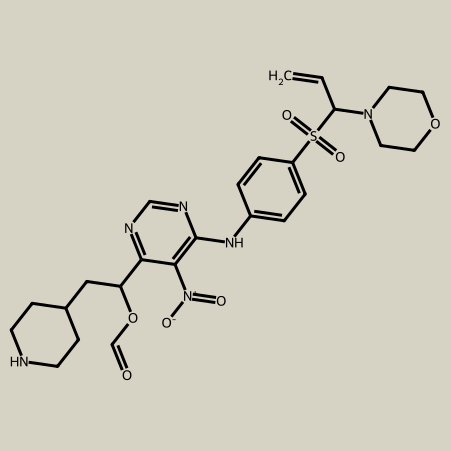 C=CC(N1CCOCC1)S(=O)(=O)c1ccc(Nc2ncnc(C(CC3CCNCC3)OC=O)c2[N+](=O)[O-])cc1